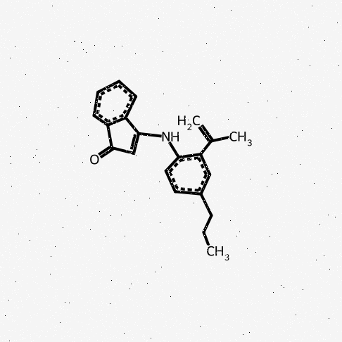 C=C(C)c1cc(CCC)ccc1NC1=CC(=O)c2ccccc21